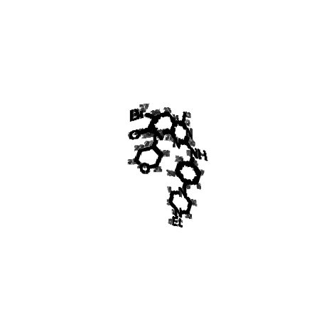 CCN1CCN(c2ccc(Nc3nc(C)c4cc(Br)c(=O)n(C5CCOCC5)c4n3)cc2)CC1